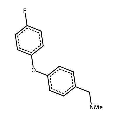 CNCc1ccc(Oc2ccc(F)cc2)cc1